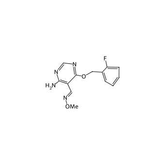 CON=Cc1c(N)ncnc1OCc1ccccc1F